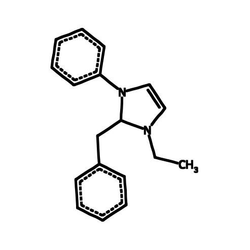 CCN1C=CN(c2ccccc2)C1Cc1ccccc1